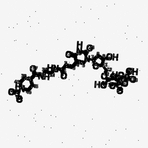 O=C(/C=C/c1cn([C@H]2C[C@@H](O)[C@@H](COP(=O)(O)OP(=O)(O)OP(=O)(O)O)O2)c(=O)[nH]c1=O)NCCNC(=O)C1CCN([SH](=O)=O)CC1